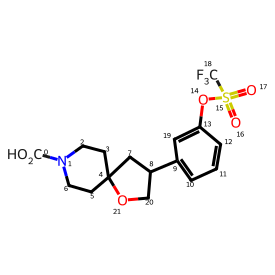 O=C(O)N1CCC2(CC1)CC(c1cccc(OS(=O)(=O)C(F)(F)F)c1)CO2